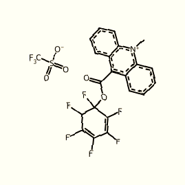 C[n+]1c2ccccc2c(C(=O)OC2(F)C(F)=C(F)C(F)=C(F)C2F)c2ccccc21.O=S(=O)([O-])C(F)(F)F